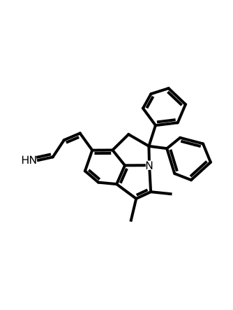 Cc1c(C)n2c3c(c(/C=C\C=N)ccc13)CC2(c1ccccc1)c1ccccc1